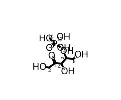 O=C(CO)C(O)C(O)CO.O=P(O)(O)O